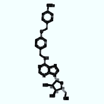 COc1ccc(COc2ccc(CNc3ncnc4c3ncn4[C@@H]3O[C@H](CO)[C@@H](O)[C@H]3O)cc2)cc1